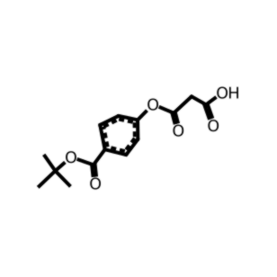 CC(C)(C)OC(=O)c1ccc(OC(=O)CC(=O)O)cc1